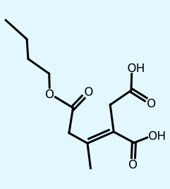 CCCCOC(=O)CC(C)=C(CC(=O)O)C(=O)O